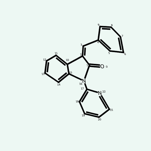 O=C1C(=Cc2ccccc2)c2ccccc2N1c1ccccn1